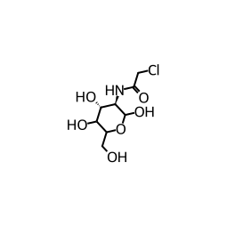 O=C(CCl)N[C@H]1C(O)OC(CO)C(O)[C@@H]1O